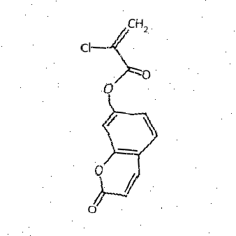 C=C(Cl)C(=O)Oc1ccc2ccc(=O)oc2c1